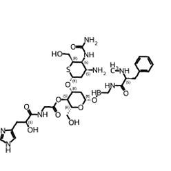 CN[C@@H](Cc1ccccc1)C(=O)NCBO[C@H]1C[C@@H](O[C@H]2C[C@H](N)[C@H](NC(N)=O)[C@H](CO)S2)[C@H](OC(=O)CNC(=O)[C@@H](O)Cc2c[nH]cn2)[C@@H](CO)O1